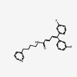 O=C(C=CC=C(c1cccc(F)c1)c1cccc(F)c1)NCCCCc1cccnc1